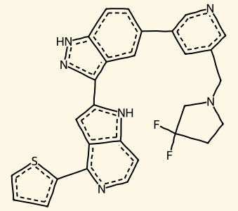 FC1(F)CCN(Cc2cncc(-c3ccc4[nH]nc(-c5cc6c(-c7cccs7)nccc6[nH]5)c4c3)c2)C1